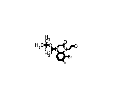 CC(C)(C)OC(=O)N1CC(=O)N(CC=O)c2c1ccc(F)c2Br